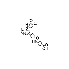 COc1ccc(Nc2nc(-c3ccc(C(=O)Nc4ccc(C(=O)O)cc4)cc3)cn3ccnc23)cc1OC